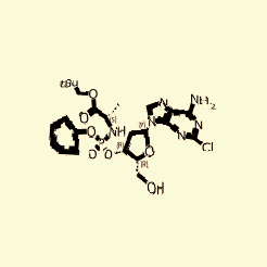 C[C@H](NP(=O)(Oc1ccccc1)O[C@@H]1C[C@H](n2cnc3c(N)nc(Cl)nc32)O[C@@H]1CO)C(=O)OCC(C)(C)C